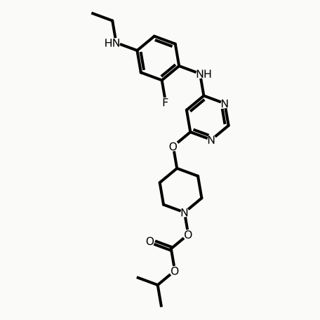 CCNc1ccc(Nc2cc(OC3CCN(OC(=O)OC(C)C)CC3)ncn2)c(F)c1